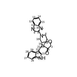 O=C1COC2(CCN(c3cnc4ccccc4n3)CC2)N1Cc1c[nH]c2ccccc12